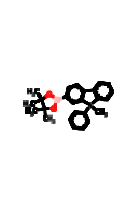 CC1(C)OB(c2ccc3c(c2)[Si](C)(c2ccccc2)c2ccccc2-3)OC1(C)C